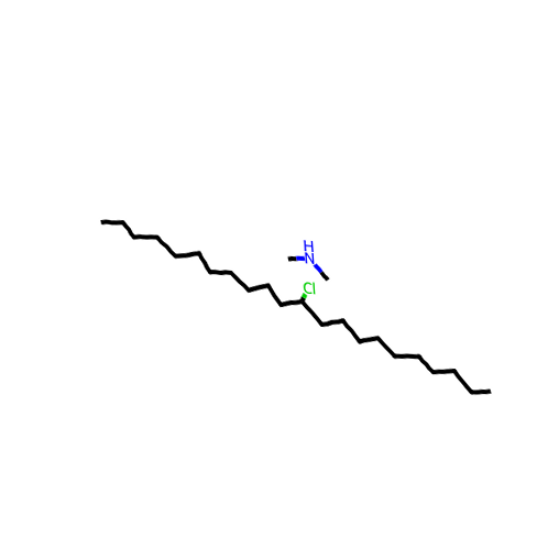 CCCCCCCCCCCC(Cl)CCCCCCCCCC.CNC